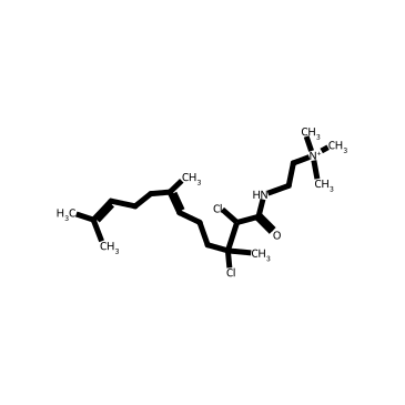 CC(C)=CCCC(C)=CCCC(C)(Cl)C(Cl)C(=O)NCC[N+](C)(C)C